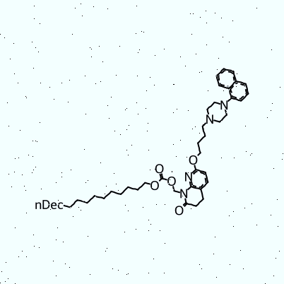 CCCCCCCCCCCCCCCCCCCCOC(=O)OCN1C(=O)CCc2ccc(OCCCCN3CCN(c4cccc5ccccc45)CC3)nc21